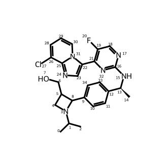 CC(C)N1CC(CO)C1c1ccc([C@H](C)Nc2ncc(F)c(-c3cnc4c(Cl)cccn34)n2)cc1